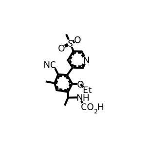 CCOc1c(C(C)NC(=O)O)cc(C)c(C#N)c1-c1cncc(S(C)(=O)=O)c1